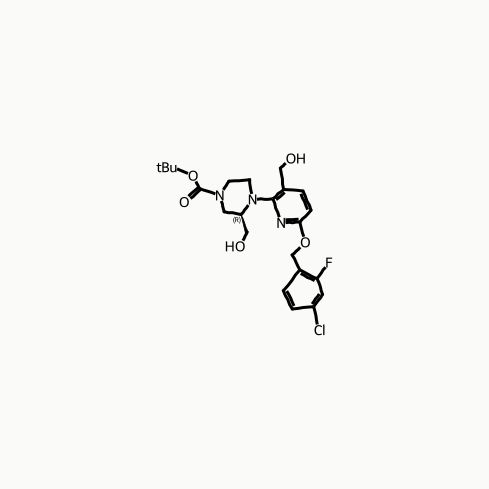 CC(C)(C)OC(=O)N1CCN(c2nc(OCc3ccc(Cl)cc3F)ccc2CO)[C@@H](CO)C1